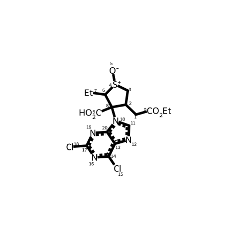 CCOC(=O)CC1C[S+]([O-])C(CC)C1(C(=O)O)n1cnc2c(Cl)nc(Cl)nc21